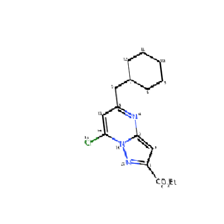 CCOC(=O)c1cc2nc(CC3CCCCC3)cc(Cl)n2n1